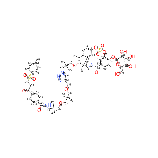 CCc1ccc(OS(=O)(=O)Oc2cc(C(=O)NCC(C)(C)COCC(C)(C)Cn3cc(COCC(C)(C)COCC(C)(C)CNC(=O)c4ccc(C(=O)CCS(=O)(=O)c5ccc(C)cc5)cc4)nn3)ccc2O[C@@H]2O[C@H](CO)[C@H](O)[C@H](O)[C@H]2O)cc1